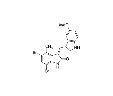 COc1ccc2[nH]cc(C=C3C(=O)Nc4c(Br)cc(Br)c(C)c43)c2c1